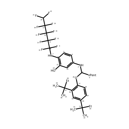 CCCCCC(Nc1ccc(NC(F)(F)C(F)(F)C(F)(F)C(F)(F)C(F)F)c(O)c1)Oc1ccc(C(C)(C)CC)cc1C(C)(C)CC